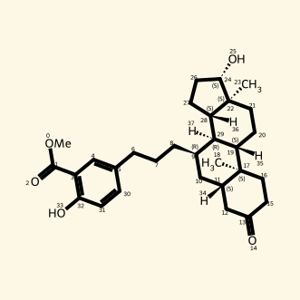 COC(=O)c1cc(CCC[C@@H]2C[C@H]3CC(=O)CC[C@]3(C)[C@H]3CC[C@]4(C)[C@@H](O)CC[C@H]4[C@H]23)ccc1O